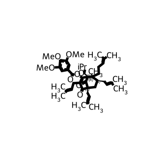 COc1cc(C(=O)OC2=C(CC=C(C)C)C(=O)[C@@]3(CC=C(C)C)C[C@H](CC=C(C)C)[C@@](C)(CCC=C(C)C)[C@]2(C(=O)C(C)C)C3=O)cc(OC)c1OC